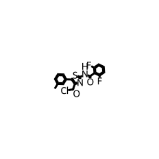 Cc1cccc(-c2sc(NC(=O)c3c(F)cccc3F)nc2C(=O)Cl)c1